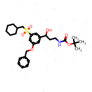 CC(C)(C)OC(=O)NCCC(O)c1cc(OCc2ccccc2)cc(S(=O)(=O)CC2CCCCC2)c1